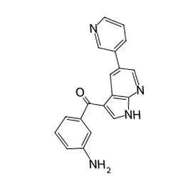 Nc1cccc(C(=O)c2c[nH]c3ncc(-c4cccnc4)cc23)c1